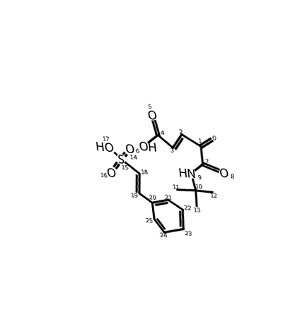 C=C(C=CC(=O)O)C(=O)NC(C)(C)C.O=S(=O)(O)C=Cc1ccccc1